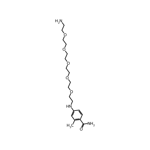 Cc1cc(NCCOCCOCCOCCOCCOCCN)ccc1C(N)=O